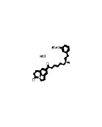 COc1cccc(CCN(C)CCCCCC(=O)c2cc3c4c(c2)CCN4C(=O)CC3)c1.Cl